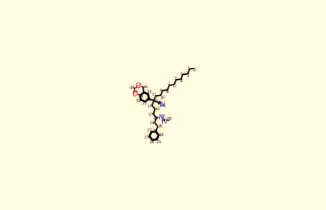 CCCCCCCCCCCCC(C#N)(CCCC(CCc1ccccc1)N=NC)c1ccc2c(c1)COCO2